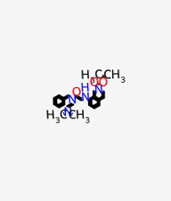 CC(C)OC(=O)N1CCc2cccc(NCC(=O)N(CCN(C)C)Cc3ccccc3)c2C1